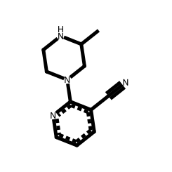 CC1CN(c2ncccc2C#N)CCN1